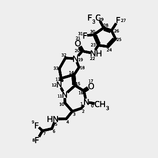 CN1CC(CNCC(F)F)Cn2nc3c(c2C1=O)CN(C(=O)Nc1ccc(F)c(C(F)(F)F)c1F)CC3